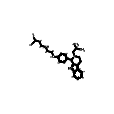 CC(C)CN1CCc2c([nH]c3ccccc23)C1c1ccc(OCCNCCC(F)F)cc1